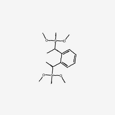 CO[Si](C)(OC)C(C)c1ccccc1C(C)[Si](C)(OC)OC